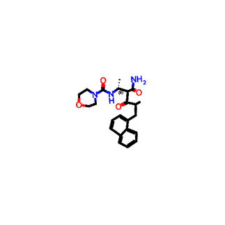 CC(Cc1cccc2ccccc12)C(=O)C(C(N)=O)[C@@H](C)NC(=O)N1CCOCC1